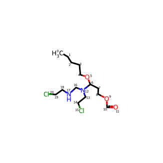 CCCCCOC(CCOC=O)N(CCCl)CNCCCl